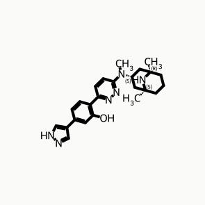 CN(c1ccc(-c2ccc(-c3cn[nH]c3)cc2O)nn1)[C@H]1C[C@]2(C)CCC[C@](C)(C1)N2